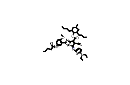 CCCCC(=O)Nc1ccc(OC)c(-c2nc3n(n2)/C(=N/c2ccc(N(CC)CC)s2)C(C#N)=C3C(=O)OC2C(CCCC)CC(C)CC2CCCC)c1